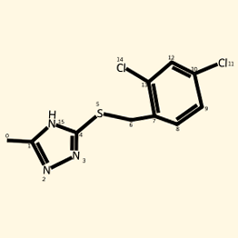 Cc1nnc(SCc2ccc(Cl)cc2Cl)[nH]1